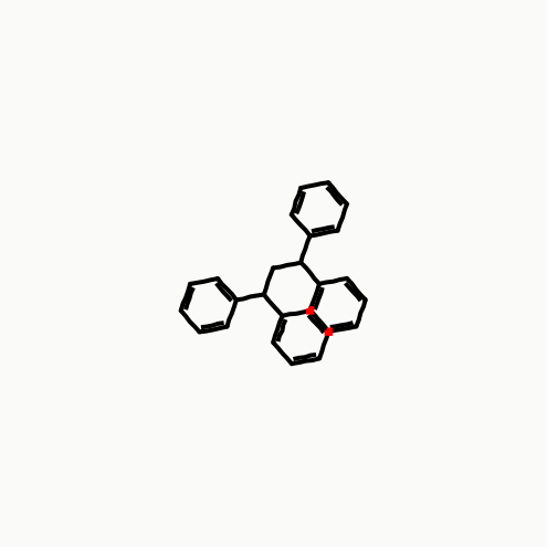 c1ccc([C](CC(c2ccccc2)c2ccccc2)c2ccccc2)cc1